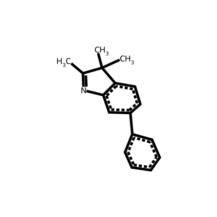 CC1=Nc2cc(-c3ccccc3)ccc2C1(C)C